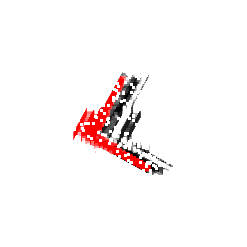 O=C(O)O.O=C(O)O.O=C(O)O.O=C(O)O.O=C(O)O.O=C(O)O.O=C(O)O.O=C(O)O.O=C(O)O.O=C(O)O.O=C(O)O.O=C(O)O.O=C(O)O.O=C(O)O.O=C(O)O.O=C(O)O.O=C(O)O.O=C(O)O.O=C(O)O.O=C(O)O.[Ca+2].[Ca+2].[Ca+2].[Ca+2].[Ca+2].[Ca+2].[Ca+2].[Ca+2].[Ca+2].[Ca+2].[Ca+2].[Ca+2].[Ca+2].[Ca+2].[Ca+2].[Ca+2].[Ca+2].[Ca+2].[Ca+2].[Ca+2].[Ca+2].[Ca+2].[Ca+2].[Ca+2].[Ca+2].[Ca+2].[Ca+2].[Ca+2].[Ca+2].[Ca+2].[Ca+2].[Ca+2].[Ca+2].[Ca+2].[Ca+2].[Ca+2].[Ca+2].[Ca+2].[Ca+2].[Ca+2]